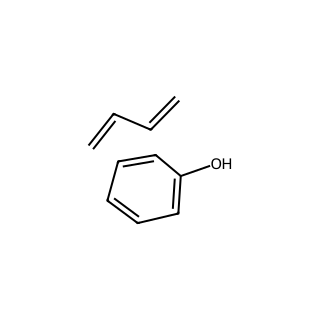 C=CC=C.Oc1ccccc1